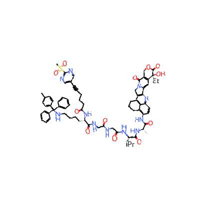 CC[C@@]1(O)C(=O)OCc2c1cc1n(c2=O)Cc2c-1nc1ccc(NC(=O)[C@H](C)NC(=O)[C@@H](NC(=O)CNC(=O)CNC(=O)[C@H](CCCCNC(c3ccccc3)(c3ccccc3)c3ccc(C)cc3)NC(=O)CCCC#Cc3cnc(S(C)(=O)=O)nc3)C(C)C)c3c1c2CCC3